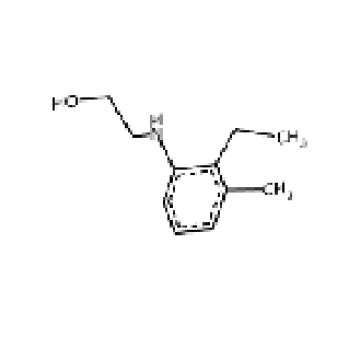 CCc1c(C)cccc1NCCO